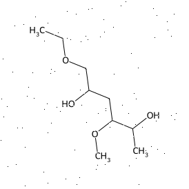 CCOCC(O)CC(OC)C(C)O